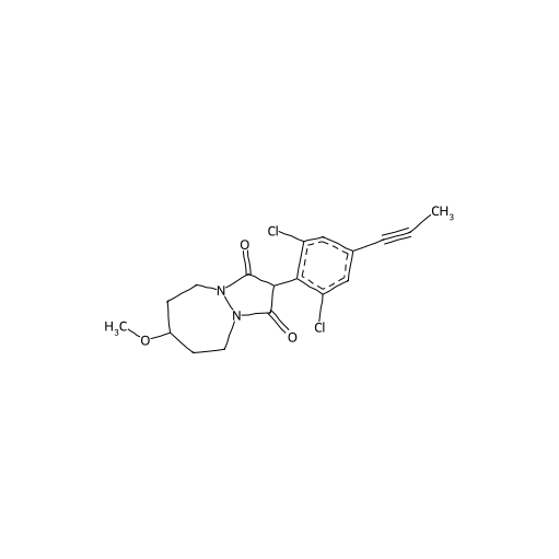 CC#Cc1cc(Cl)c(C2C(=O)N3CCC(OC)CCN3C2=O)c(Cl)c1